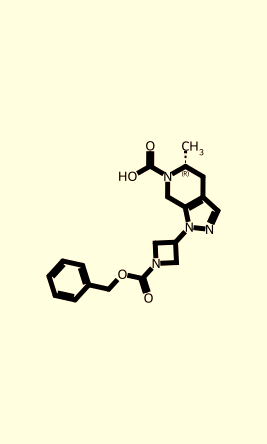 C[C@@H]1Cc2cnn(C3CN(C(=O)OCc4ccccc4)C3)c2CN1C(=O)O